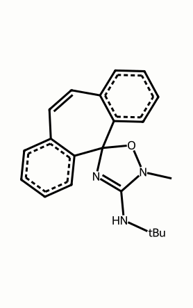 CN1OC2(N=C1NC(C)(C)C)c1ccccc1C=Cc1ccccc12